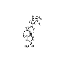 CC(C)(C)OC(=O)N1CCN2c3ccc(C(=O)O)cc3OCC[C@H]2C1